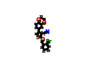 N#Cc1c(-c2ccc3c(c2)OCCO3)csc1OCc1ccccc1Br